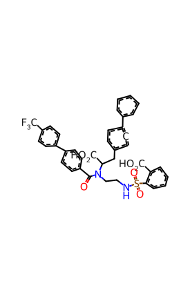 O=C(O)c1ccccc1S(=O)(=O)NCCN(C(=O)c1ccc(-c2ccc(C(F)(F)F)cc2)cc1)C(Cc1ccc(-c2ccccc2)cc1)C(=O)O